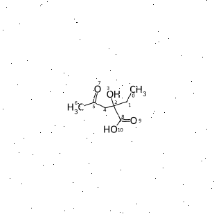 CCC(O)(CC(C)=O)C(=O)O